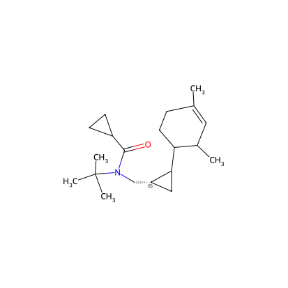 CC1=CC(C)C(C2C[C@@H]2CN(C(=O)C2CC2)C(C)(C)C)CC1